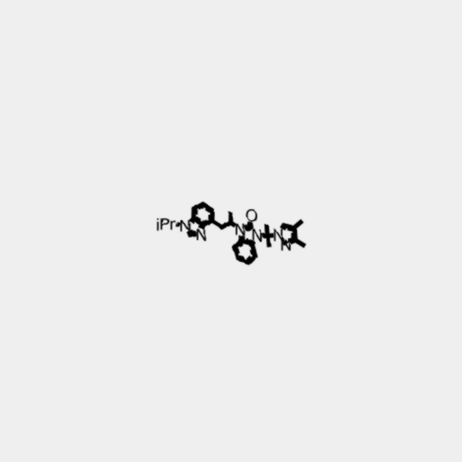 Cc1cn(C(C)(C)n2c(=O)n(C(C)Cc3cccc4c3ncn4C(C)C)c3ccccc32)nc1C